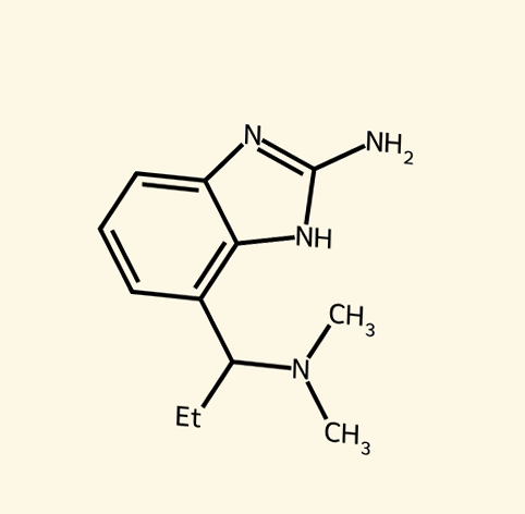 CCC(c1cccc2nc(N)[nH]c12)N(C)C